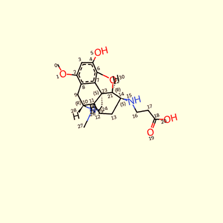 COc1cc(O)c2c3c1C[C@@H]1[C@@H]4CC[C@H](NCCC(=O)O)[C@H](O2)[C@]34CCN1C